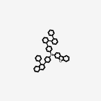 c1ccc(-c2ccccc2-c2ccccc2-c2ccc(N(c3ccc(-c4ccc5ccccc5c4-c4ccccc4)cc3)c3ccc4c(c3)oc3ccccc34)cc2)cc1